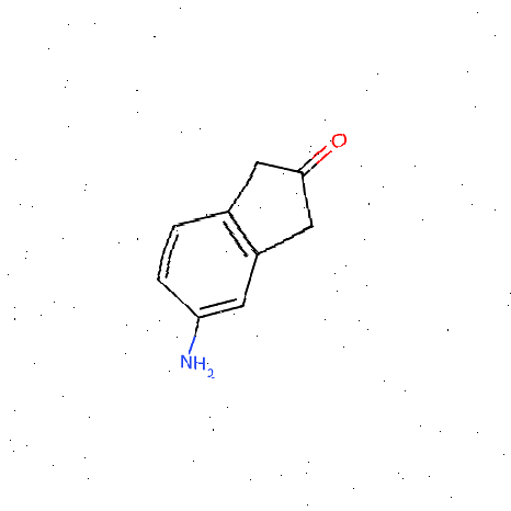 Nc1ccc2c(c1)CC(=O)C2